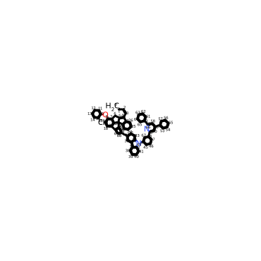 C=C/C=C\C1=C2Cc3c(Oc4ccccc4C)ccc4c3C2(c2ccccc21)c1cc(-c2ccc3c(c2)c2ccccc2n3-c2cccc(-c3cc(-c5ccccc5)cc(-c5ccccc5)n3)c2)ccc1-4